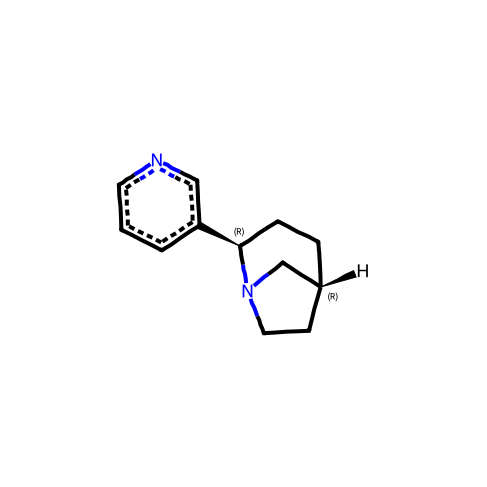 c1cncc([C@H]2CC[C@@H]3CCN2C3)c1